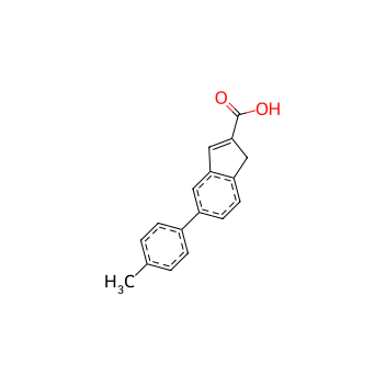 Cc1ccc(-c2ccc3c(c2)C=C(C(=O)O)C3)cc1